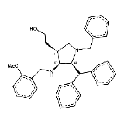 COc1ccccc1CN[C@H]1[C@@H](CCO)CN(Cc2ccccc2)[C@H]1C(c1ccccc1)c1ccccc1